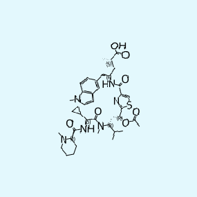 CC(=O)O[C@H](C[C@H](C(C)C)N(C)C(=O)[C@@H](NC(=O)[C@H]1CCCCN1C)C1CC1)c1nc(C(=O)N[C@@H](Cc2ccc3c(ccn3C)c2)C[C@H](C)C(=O)O)cs1